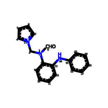 O=CN(Cn1cccc1)c1ccccc1Nc1ccccc1